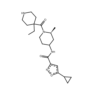 CCC1(C(=O)N2CCC(NC(=O)c3cc(C4CC4)on3)C[C@@H]2C)CCNCC1